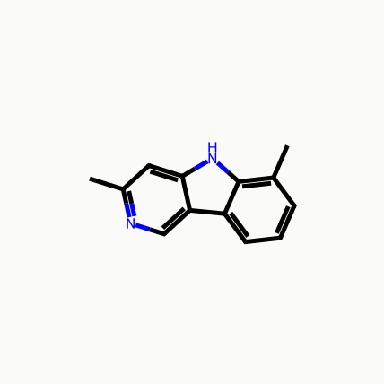 Cc1cc2[nH]c3c(C)cccc3c2cn1